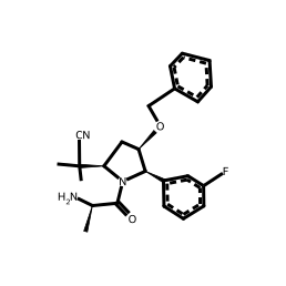 C[C@@H](N)C(=O)N1[C@H](c2cccc(F)c2)[C@H](OCc2ccccc2)C[C@@H]1C(C)(C)C#N